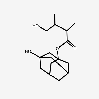 CC(CO)C(C)C(=O)OC12CC3CC(CC(O)(C3)C1)C2